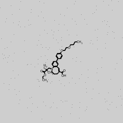 CCCCOCCOc1ccc(-c2ccc3c(c2)/C=C(/C(=O)O)CCCN3CC(C)(C)C(=O)OCC)cc1